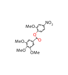 COc1cc([N+](=O)[O-])ccc1OC(=O)c1cc(OC)c(OC)c(OC)c1